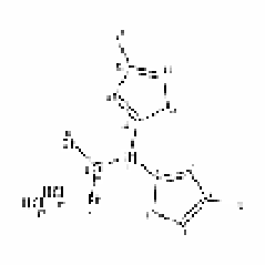 CC[SiH](CC)[Hf]([C]1=CC(C)=CC1)[C]1=CC(C)=CC1.Cl.Cl